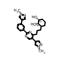 Cn1cc(-c2cccc(-c3ncc(-c4cnn(C)c4)c(CCCC4CCC[C@H](O)[C@@H]4O)n3)c2)cn1